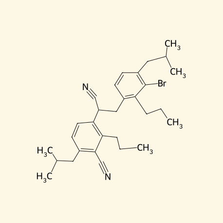 CCCc1c(CC(C#N)c2ccc(CC(C)C)c(C#N)c2CCC)ccc(CC(C)C)c1Br